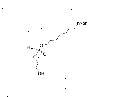 CCCCCCCCCCCCCCCCOP(=O)(O)OCCO